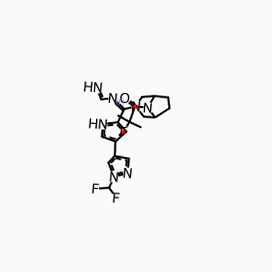 CC(C)(F)C(=O)N1C2CCC1CN(/C(=N/C=N)c1cc(-c3cnn(C(F)F)c3)c[nH]1)C2